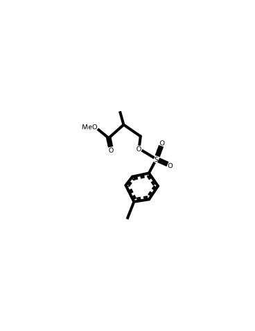 COC(=O)C(C)COS(=O)(=O)c1ccc(C)cc1